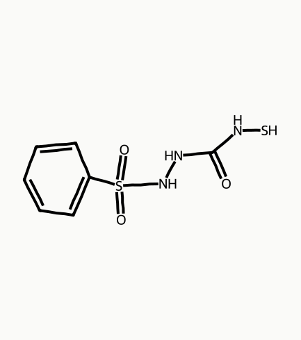 O=C(NS)NNS(=O)(=O)c1ccccc1